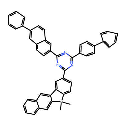 C[Si]1(C)c2ccc(-c3nc(-c4ccc(-c5ccccc5)cc4)nc(-c4ccc5cc(-c6ccccc6)ccc5c4)n3)cc2-c2cc3ccccc3cc21